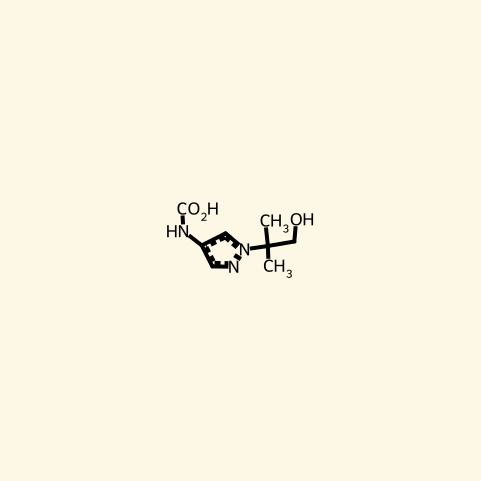 CC(C)(CO)n1cc(NC(=O)O)cn1